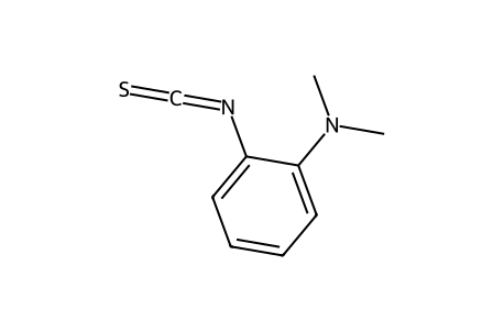 CN(C)c1ccccc1N=C=S